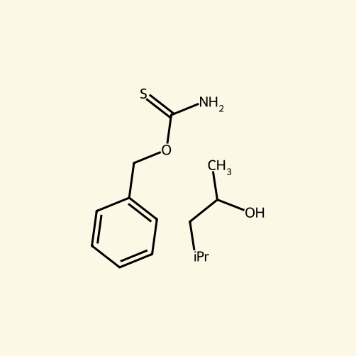 CC(C)CC(C)O.NC(=S)OCc1ccccc1